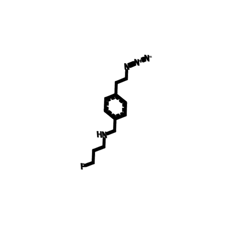 [N-]=[N+]=NCCc1ccc(CNCCCF)cc1